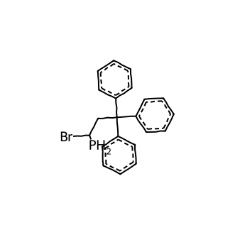 PC(Br)CC(c1ccccc1)(c1ccccc1)c1ccccc1